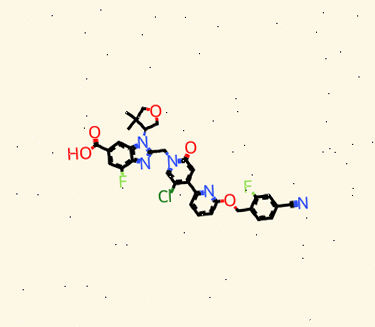 CC1(C)COC[C@H]1n1c(Cn2cc(Cl)c(-c3cccc(OCc4ccc(C#N)cc4F)n3)cc2=O)nc2c(F)cc(C(=O)O)cc21